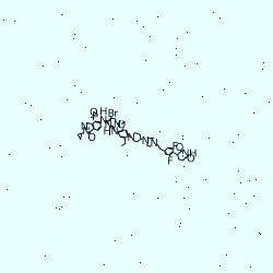 CCc1cc(Nc2ncc(Br)c(Nc3ccc4c(=O)n(C5CC5)ncc4c3P(C)(C)=O)n2)c(OC)cc1N1CCC(N2CCN(CCc3cc(F)c(C4CCC(=O)NC4=O)c(F)c3)CC2)CC1